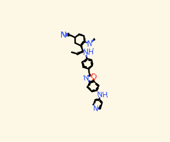 C=NC1=C(/C(=C\C)Nc2ccc(-c3nc4ccc(Nc5ccncc5)cc4o3)cc2)CC(C#N)CC1